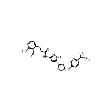 CC(C)c1ccc(O[C@@H]2CC[C@H](c3cc(NC(=O)CCc4cccc(O)c4C=O)n[nH]3)C2)nn1